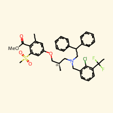 COC(=O)c1c(C)cc(OC[C@H](C)CN(Cc2cccc(C(C)(F)F)c2Cl)CC(c2ccccc2)c2ccccc2)cc1S(C)(=O)=O